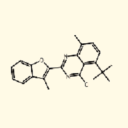 Cc1c(-c2nc(Cl)c3c(C(C)(C)C)ccc(C)c3n2)oc2ccccc12